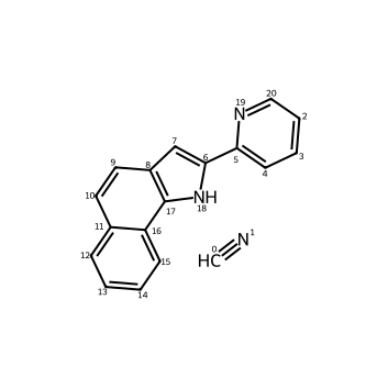 C#N.c1ccc(-c2cc3ccc4ccccc4c3[nH]2)nc1